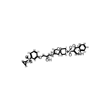 O=c1c(S(=O)(=O)N2CCC3(CC2)C[C@@H](NC[C@H](O)COc2cccc(S(=O)(=O)C4CC4)c2)CO3)c[nH]c2ccccc12